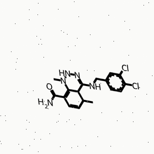 CC1C=CC(C(N)=O)=C2C1C(NCc1ccc(Cl)c(Cl)c1)=NNN2C